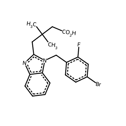 CC(C)(CC(=O)O)Cc1nc2ccccc2n1Cc1ccc(Br)cc1F